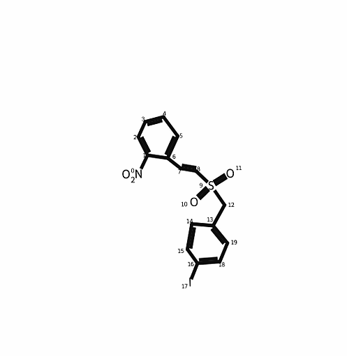 O=[N+]([O-])c1ccccc1/C=C/S(=O)(=O)Cc1ccc(I)cc1